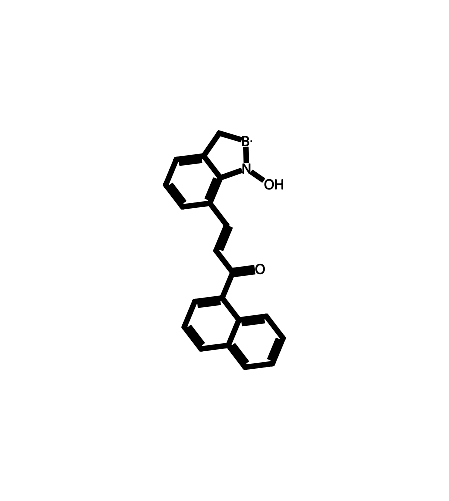 O=C(/C=C/c1cccc2c1N(O)[B]C2)c1cccc2ccccc12